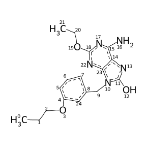 CCCOc1cccc(Cn2c(O)nc3c(N)nc(OCC)nc32)c1